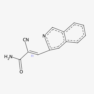 N#C/C(=C\c1cc2ccccc2cn1)C(N)=O